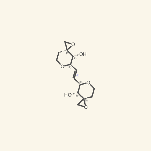 O[C@@H]1[C@@H](/C=C/[C@H]2OCC[C@@]3(CO3)[C@@H]2O)OCC[C@@]12CO2